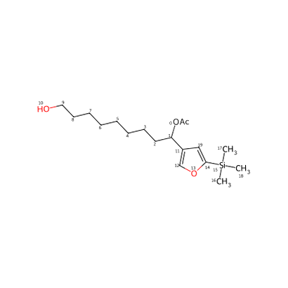 CC(=O)OC(CCCCCCCCO)c1coc([Si](C)(C)C)c1